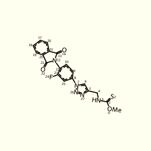 COC(=S)NCc1cn(-c2ccc(N3C(=O)c4ccccc4C3=O)c(F)c2)nn1